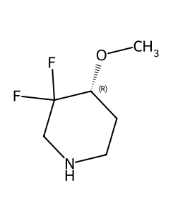 CO[C@@H]1CCNCC1(F)F